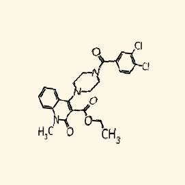 CCOC(=O)c1c(N2CCN(C(=O)c3ccc(Cl)c(Cl)c3)CC2)c2ccccc2n(C)c1=O